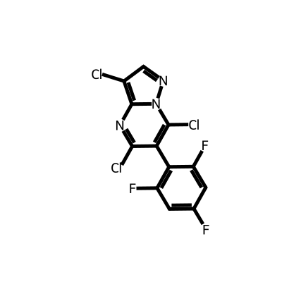 Fc1cc(F)c(-c2c(Cl)nc3c(Cl)cnn3c2Cl)c(F)c1